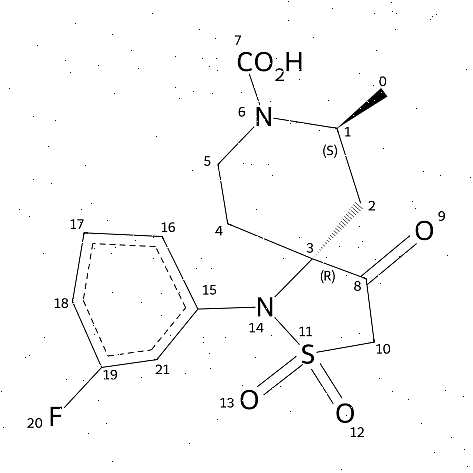 C[C@H]1C[C@]2(CCN1C(=O)O)C(=O)CS(=O)(=O)N2c1cccc(F)c1